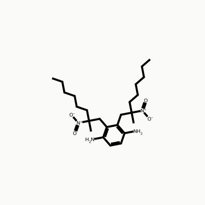 CCCCCCC(C)(Cc1c(N)ccc(N)c1CC(C)(CCCCCC)[N+](=O)[O-])[N+](=O)[O-]